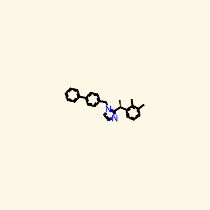 Cc1cccc([C@H](C)c2nccn2Cc2ccc(-c3ccccc3)cc2)c1C